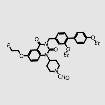 CCOc1ccc(-c2ccc(Cn3c(=O)c4cc(OCCF)ccc4n(C4CCN(C=O)CC4)c3=O)cc2OCC)cc1